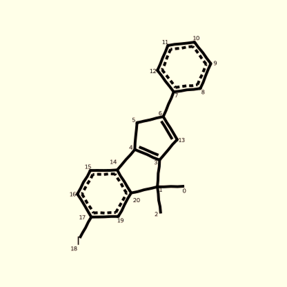 CC1(C)C2=C(CC(c3ccccc3)=C2)c2ccc(I)cc21